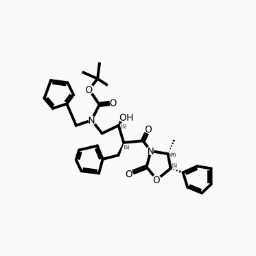 C[C@@H]1[C@H](c2ccccc2)OC(=O)N1C(=O)[C@@H](Cc1ccccc1)[C@H](O)CN(Cc1ccccc1)C(=O)OC(C)(C)C